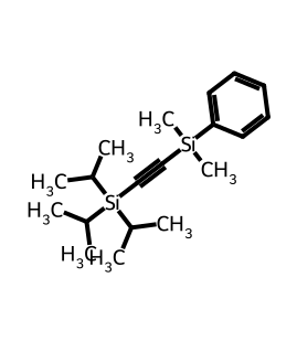 CC(C)[Si](C#C[Si](C)(C)c1ccccc1)(C(C)C)C(C)C